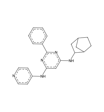 c1ccc(-c2nc(Nc3ccncc3)cc(NC3CC4CCC3C4)n2)cc1